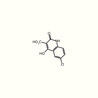 O=C(O)c1c(O)c2cc(Cl)ccc2[nH]c1=O